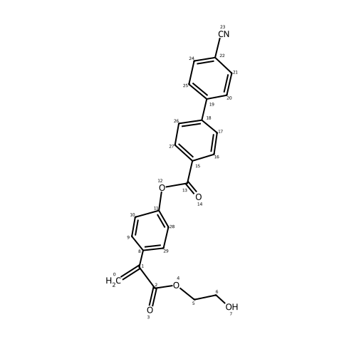 C=C(C(=O)OCCO)c1ccc(OC(=O)c2ccc(-c3ccc(C#N)cc3)cc2)cc1